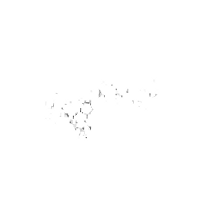 CCC(CCN1CCN(Cc2cc3nc(Cl)nc(N4CCOCC4)c3s2)CC1)COC